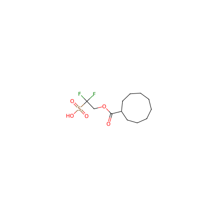 O=C(OCC(F)(F)S(=O)(=O)O)C1CCCCCCCC1